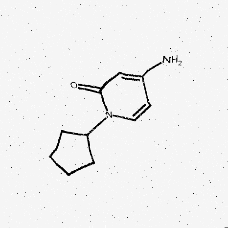 Nc1ccn(C2CCCC2)c(=O)c1